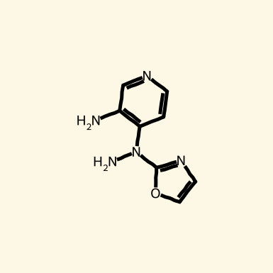 Nc1cnccc1N(N)c1ncco1